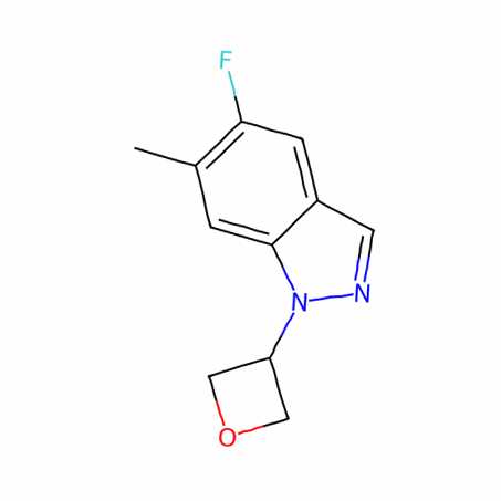 Cc1cc2c(cnn2C2COC2)cc1F